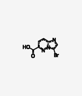 O=C(O)c1ccc2ncc(Br)n2n1